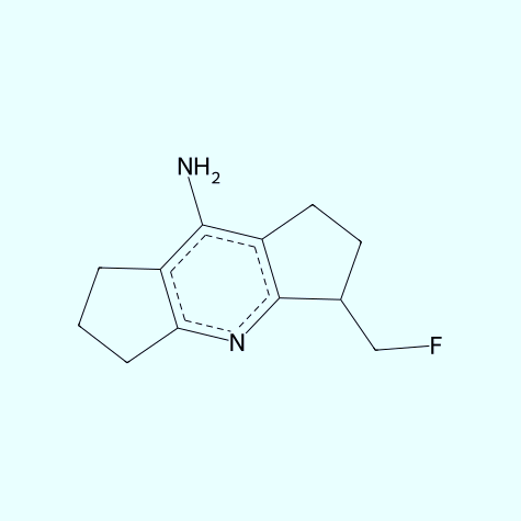 Nc1c2c(nc3c1CCC3CF)CCC2